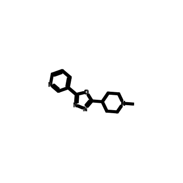 CN1CCC(c2nnc(-c3cccnc3)o2)CC1